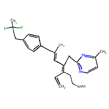 C=C/C(CCNC)=C(\C=C(/C)c1ccc(CC(C)(F)F)cc1)Cc1nccc(C)n1